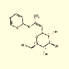 OC[C@H]1OC(N=C(OC2C=CC=CO2)C(Cl)(Cl)Cl)[C@H](O)[C@@H](O)[C@@H]1O